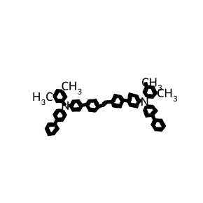 Cc1cc(C)cc(N(c2ccc(-c3ccccc3)cc2)c2ccc(-c3ccc(/C=C/c4ccc(-c5ccc(N(c6ccc(-c7ccccc7)cc6)c6cc(C)cc(C)c6)cc5)cc4)cc3)cc2)c1